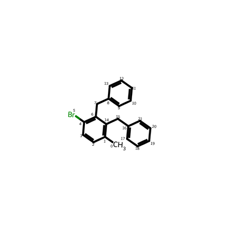 Cc1ccc(Br)c(Cc2ccccc2)c1Cc1ccccc1